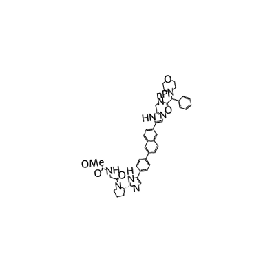 CCCN(Cc1ncc(-c2ccc3cc(-c4ccc(-c5cnc([C@@H]6CCCN6C(=O)CNC(=O)OC)[nH]5)cc4)ccc3c2)[nH]1)C(=O)C(c1ccccc1)N1CCOCC1